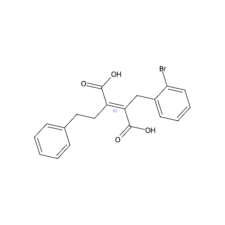 O=C(O)/C(CCc1ccccc1)=C(\Cc1ccccc1Br)C(=O)O